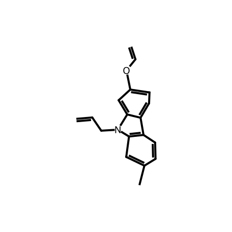 C=CCn1c2cc(C)ccc2c2ccc(OC=C)cc21